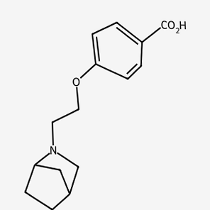 O=C(O)c1ccc(OCCN2CC3CCC2C3)cc1